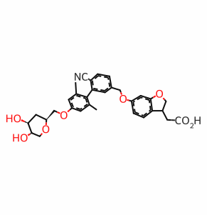 Cc1cc(OC[C@@H]2C[C@H](O)[C@H](O)CO2)cc(C)c1-c1cc(COc2ccc3c(c2)OCC3CC(=O)O)ccc1C#N